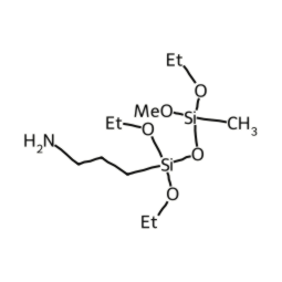 CCO[Si](C)(OC)O[Si](CCCN)(OCC)OCC